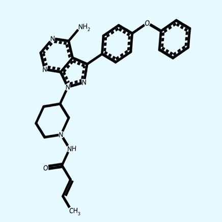 CC=CC(=O)NN1CCCC(n2nc(-c3ccc(Oc4ccccc4)cc3)c3c(N)ncnc32)C1